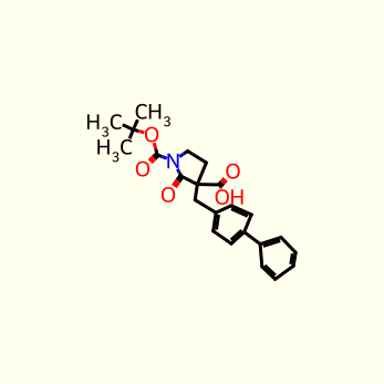 CC(C)(C)OC(=O)N1CCC(Cc2ccc(-c3ccccc3)cc2)(C(=O)O)C1=O